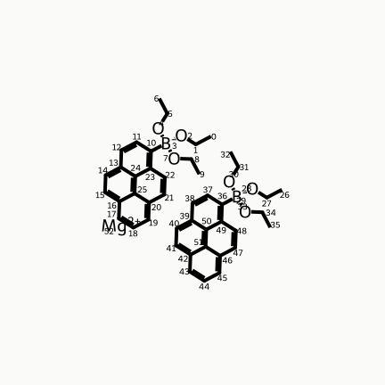 CCO[B-](OCC)(OCC)c1ccc2ccc3cccc4ccc1c2c34.CCO[B-](OCC)(OCC)c1ccc2ccc3cccc4ccc1c2c34.[Mg+2]